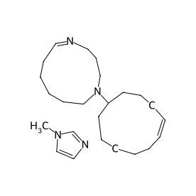 C1=CCCCC(N2CCCCCC=NCCC2)CCCCC1.Cn1ccnc1